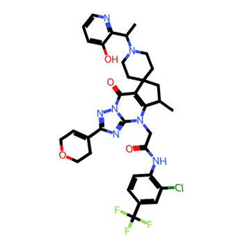 CC1CC2(CCN(C(C)c3ncccc3O)CC2)c2c1n(CC(=O)Nc1ccc(C(F)(F)F)cc1Cl)c1nc(C3=CCOCC3)nn1c2=O